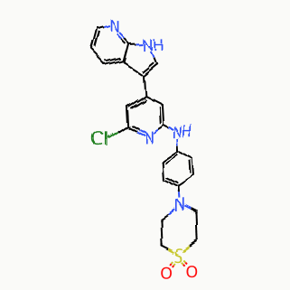 O=S1(=O)CCN(c2ccc(Nc3cc(-c4c[nH]c5ncccc45)cc(Cl)n3)cc2)CC1